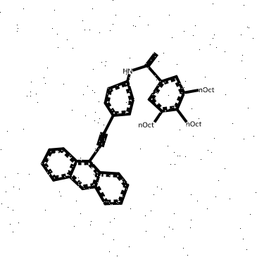 C=C(Nc1ccc(C#Cc2c3ccccc3cc3ccccc23)cc1)c1cc(CCCCCCCC)c(CCCCCCCC)c(CCCCCCCC)c1